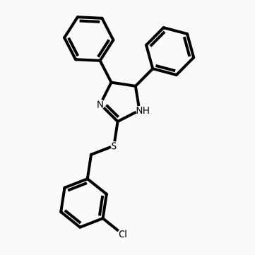 Clc1cccc(CSC2=NC(c3ccccc3)C(c3ccccc3)N2)c1